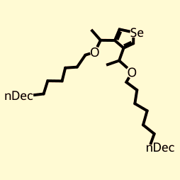 CCCCCCCCCCCCCCCCOC(C)c1c[se]cc1C(C)OCCCCCCCCCCCCCCCC